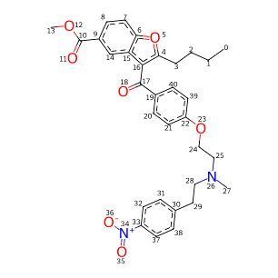 CCCCc1oc2ccc(C(=O)OC)cc2c1C(=O)c1ccc(OCCN(C)CCc2ccc([N+](=O)[O-])cc2)cc1